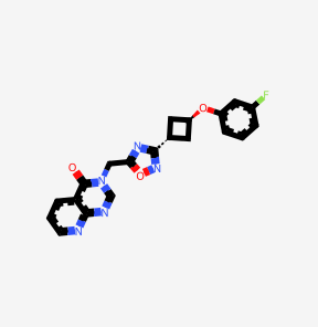 O=c1c2cccnc2ncn1Cc1nc([C@H]2C[C@H](Oc3cccc(F)c3)C2)no1